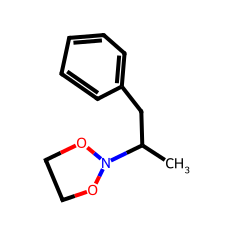 CC(Cc1ccccc1)N1OCCO1